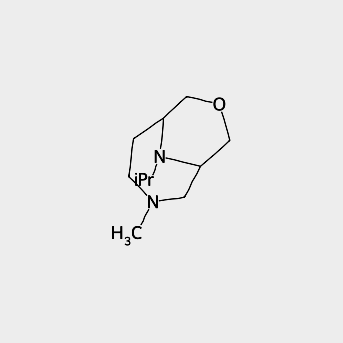 CC(C)N1C2CCN(C)CC1COC2